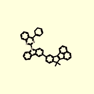 CC1(C)C2=C(c3cc(-c4ccc5c(c4)c4ccccc4n5-c4nc(C5=CC=CCC5)c5ccccc5n4)ccc31)c1cccc3cccc2c13